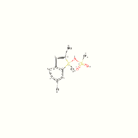 CCc1ccc2c(c1)S(OS(=O)(=O)C(F)(F)F)(C(F)(F)F)C(C(C)(C)C)=C2